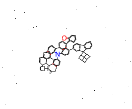 CC1C=Cc2cccc(-c3ccccc3N(c3ccc(-c4ccc5c(c4)C4(c6ccccc6-5)C5CC6CC7CC4C675)cc3)c3ccccc3-c3ccc4c(c3)oc3ccccc34)c2C1C1CCCCC1